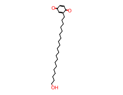 O=C1C=CC(=O)C(CCCCCCCCCCCCCCCCCCCCO)=C1